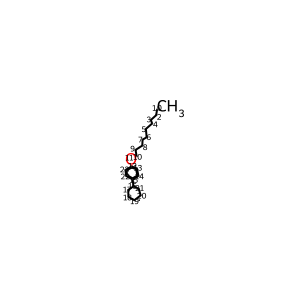 CCCCCCCCCCCOc1ccc(C2CC[CH]CC2)cc1